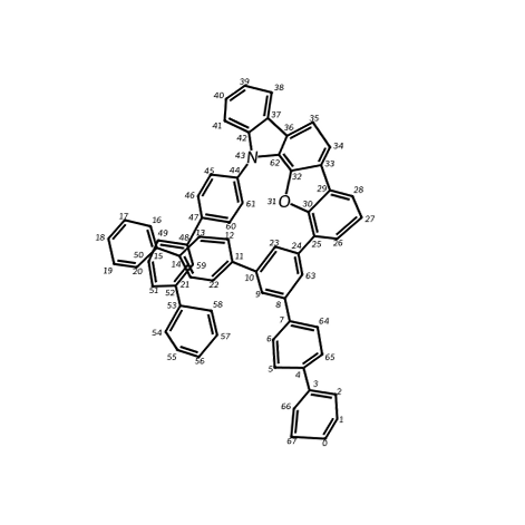 c1ccc(-c2ccc(-c3cc(-c4ccc(-c5ccccc5)cc4)cc(-c4cccc5c4oc4c5ccc5c6ccccc6n(-c6ccc(-c7cccc(-c8ccccc8)c7)cc6)c54)c3)cc2)cc1